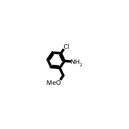 COCc1cccc(Cl)c1N